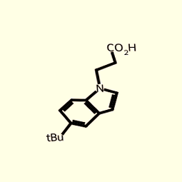 CC(C)(C)c1ccc2c(ccn2CCC(=O)O)c1